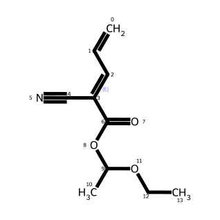 C=C/C=C(\C#N)C(=O)OC(C)OCC